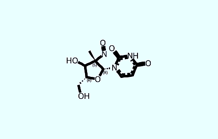 C[C@]1(N=O)C(O)[C@@H](CO)O[C@H]1n1ccc(=O)[nH]c1=O